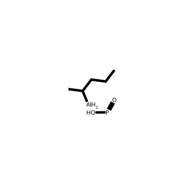 CCC[CH](C)[AlH2].O=PO